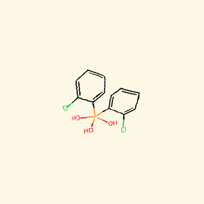 OP(O)(O)(c1ccccc1Cl)c1ccccc1Cl